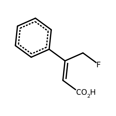 O=C(O)/C=C(\CF)c1ccccc1